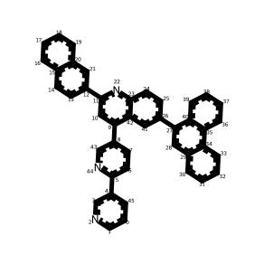 c1cncc(-c2ccc(-c3cc(-c4ccc5ccccc5c4)nc4ccc(-c5cc6ccccc6c6ccccc56)cc34)cn2)c1